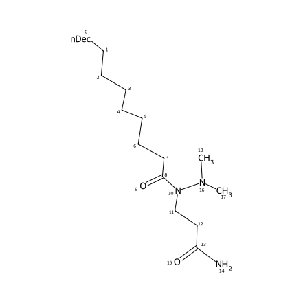 CCCCCCCCCCCCCCCCCC(=O)N(CCC(N)=O)N(C)C